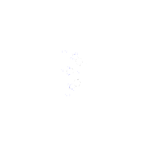 Fc1cc2nc([C@@H]3CCCN3)[nH]c2cc1[C@H]1CC[C@@H](c2cc3[nH]c([C@@H]4CCCN4)nc3cc2F)N1c1cnc(N2CCCCC2)nc1